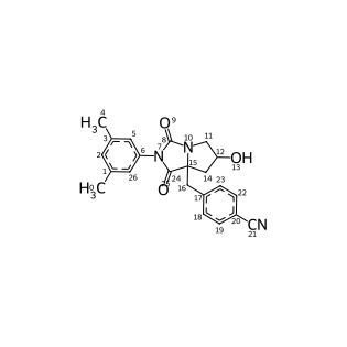 Cc1cc(C)cc(N2C(=O)N3CC(O)CC3(Cc3ccc(C#N)cc3)C2=O)c1